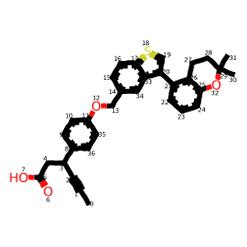 CC#CC(CC(=O)O)c1ccc(OCc2ccc3scc(-c4cccc5c4CCC(C)(C)O5)c3c2)cc1